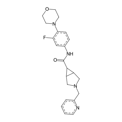 O=C(Nc1ccc(N2CCOCC2)c(F)c1)C1C2CN(Cc3ccccn3)CC21